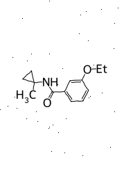 CCOc1cccc(C(=O)NC2(C)CC2)c1